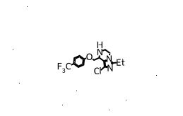 CCc1nc(Cl)c2n1CCNC2COc1ccc(C(F)(F)F)cc1